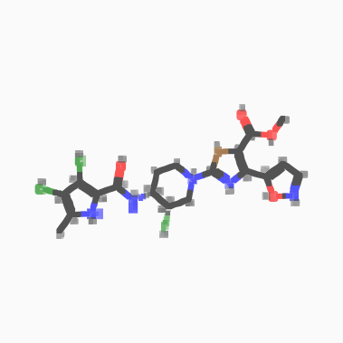 COC(=O)c1sc(N2CC[C@@H](NC(=O)c3[nH]c(C)c(Cl)c3Cl)[C@@H](F)C2)nc1-c1ccno1